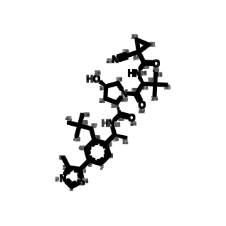 Cc1ncsc1-c1ccc([C@H](C)NC(=O)[C@@H]2C[C@@H](O)CN2C(=O)[C@@H](NC(=O)C2(C#N)CC2)C(C)(C)C)c(CC(C)(C)C)c1